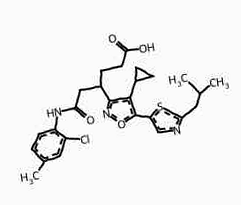 Cc1ccc(NC(=O)CC(CCC(=O)O)c2noc(-c3cnc(CC(C)C)s3)c2C2CC2)c(Cl)c1